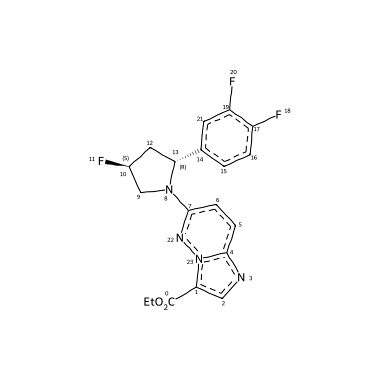 CCOC(=O)c1cnc2ccc(N3C[C@@H](F)C[C@@H]3c3ccc(F)c(F)c3)nn12